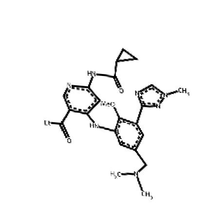 CCC(=O)c1cnc(NC(=O)C2CC2)cc1Nc1cc(CN(C)C)cc(-c2ncn(C)n2)c1OC